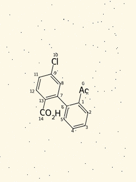 CC(=O)c1ccccc1-c1cc(Cl)ccc1C(=O)O